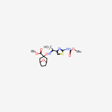 CC(C)(C)OC(=O)Nc1nc(/C(=N/OC2(C(=O)OC(C)(C)C)CC3CCC(C2)O3)C(=O)O)cs1